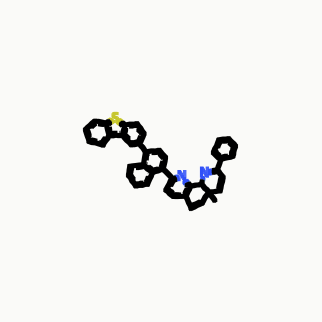 CC12C=CC(c3ccccc3)=NC1c1nc(-c3ccc(-c4ccc5sc6ccccc6c5c4)c4ccccc34)ccc1C=C2